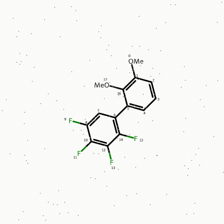 COc1cccc(-c2cc(F)c(F)c(F)c2F)c1OC